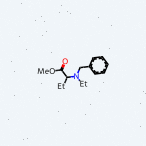 CCC(C(=O)OC)N(CC)Cc1ccccc1